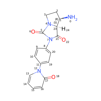 N[C@@H]1CCN2C(=O)N(c3ccc(-n4ccccc4=O)cc3)C(=O)[C@H]12